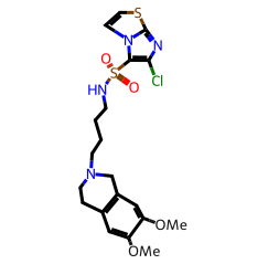 COc1cc2c(cc1OC)CN(CCCCNS(=O)(=O)c1c(Cl)nc3sccn13)CC2